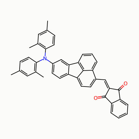 Cc1ccc(N(c2ccc3c(c2)-c2cccc4c(C=C5C(=O)c6ccccc6C5=O)ccc-3c24)c2ccc(C)cc2C)c(C)c1